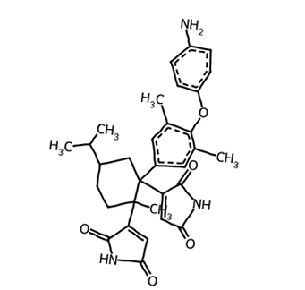 Cc1cc(C2(C3=CC(=O)NC3=O)CC(C(C)C)CCC2(C)C2=CC(=O)NC2=O)cc(C)c1Oc1ccc(N)cc1